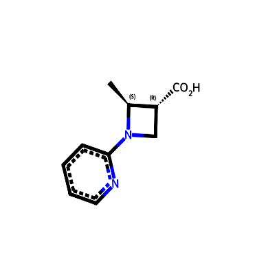 C[C@H]1[C@H](C(=O)O)CN1c1ccccn1